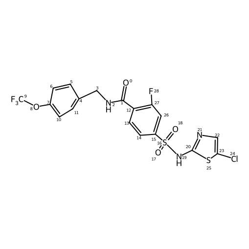 O=C(NCc1ccc(OC(F)(F)F)cc1)c1ccc(S(=O)(=O)Nc2ncc(Cl)s2)cc1F